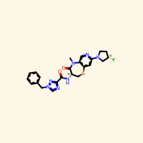 CN1C(=O)[C@@H](NC(=O)c2ncn(Cc3ccccc3)n2)CSc2cc(N3CC[C@H](F)C3)ncc21